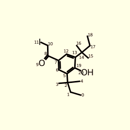 CCC(C)(C)c1cc(C(=O)CI)cc(C(C)(C)CC)c1O